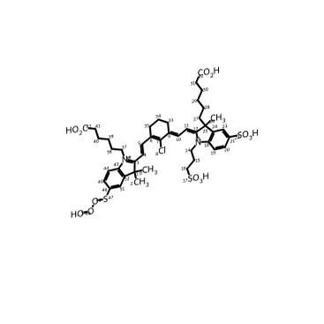 CC1(C)C(/C=C/C2=C(Cl)C(=C/C=C3\N(CCCS(=O)(=O)O)c4ccc(S(=O)(=O)O)cc4C3(C)CCCCCC(=O)O)/CCC2)=[N+](CCCCCC(=O)O)c2ccc(SOOO)cc21